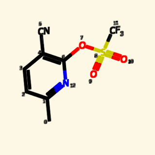 Cc1ccc(C#N)c(OS(=O)(=O)C(F)(F)F)n1